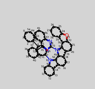 c1ccc(-c2ccc(-n3c4ccccc4c4ccc5c6ccc7oc8ccccc8c7c6n(-c6nc(-c7ccccc7)c7ccccc7n6)c5c43)cc2)cc1